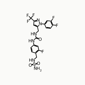 NS(=O)(=O)NCc1ccc(NC(=O)NCc2cc(C(F)(F)F)nn2-c2ccc(F)c(F)c2)cc1F